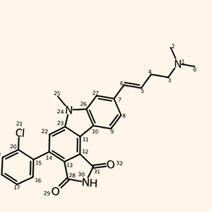 CN(C)CCC=Cc1ccc2c3c4c(c(-c5ccccc5Cl)cc3n(C)c2c1)C(=O)NC4=O